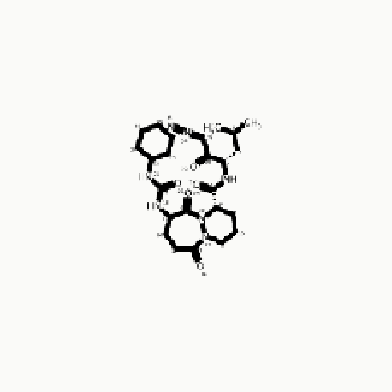 CC(C)C[C@H](NC(=O)[C@@H]1CCCN2C(=O)CCC(NC(=O)NC3CCCCC3)C(=O)N12)C(=O)C=[N+]=[N-]